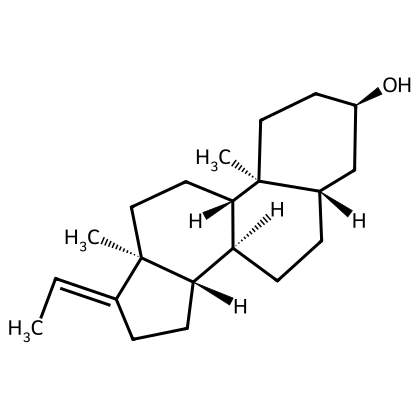 C/C=C1\CC[C@H]2[C@@H]3CC[C@H]4C[C@H](O)CC[C@]4(C)[C@H]3CC[C@]12C